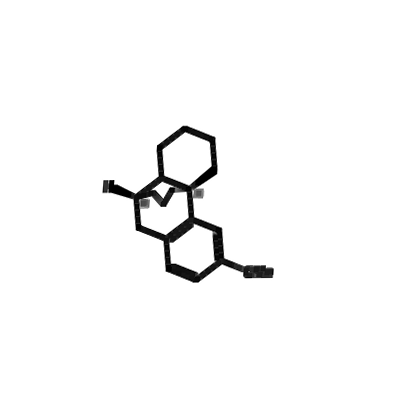 COc1ccc2c(c1)[C@@]13CCCCC1[C@H](CCC3)C2